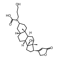 C[C@]12CC[C@H](N(CCCO)C(=O)O)C[C@H]1CC[C@@H]1[C@@H]2CC[C@]2(C)[C@@H](C3=CC(=O)OC3)CC[C@]12O